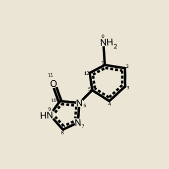 Nc1cccc(-n2nc[nH]c2=O)c1